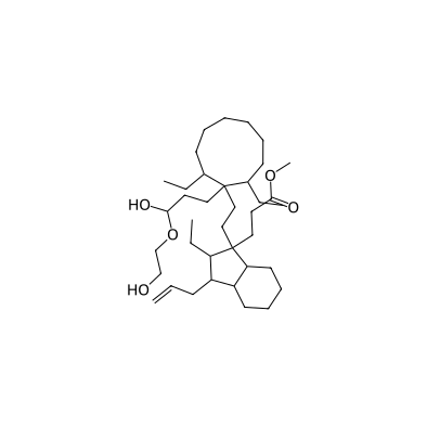 C=CCC1C2CCCCC2C(CCC(=O)OC)(CCC2(CCC(O)OCCO)C(CC)CCCCCCC2CC)C1CC